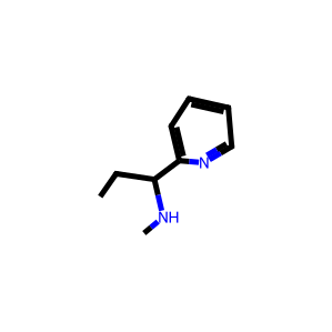 CCC(NC)c1ccccn1